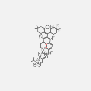 CC(C)S(=O)(=O)N(C)Cc1cnc(N2CCC(c3nc4c(c(C5CCC(F)(F)CC5)c3[C@@H](F)c3ccc(C(F)(F)F)cc3)[C@@H](O)CC(C)(C)C4)CC2)nc1